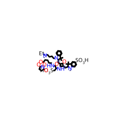 CCN(C)CCCCN1/C(=C/C2=C(NC(CS(=O)(=O)O)C(=O)NCCCCC(=O)ON3C(=O)CCC3=O)C(=C/C3=[N+](C)c4ccc(S(=O)(=O)O)cc4C3(C)C)/C2=O)C(C)(C)c2ccccc21